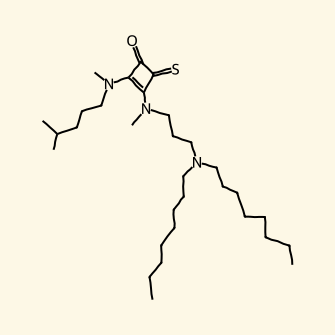 CCCCCCCCN(CCCCCCCC)CCCN(C)c1c(N(C)CCCC(C)C)c(=O)c1=S